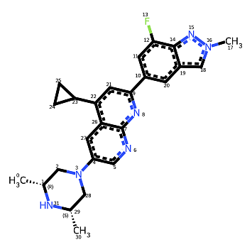 C[C@@H]1CN(c2cnc3nc(-c4cc(F)c5nn(C)cc5c4)cc(C4CC4)c3c2)C[C@H](C)N1